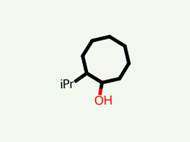 CC(C)C1CCCCCCC1O